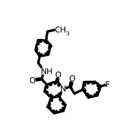 CCc1ccc(CNC(=O)c2cc3ccccc3n(C(=O)Cc3ccc(F)cc3)c2=O)cc1